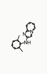 Cc1cccc(C)c1Nc1cn2ccccc2n1